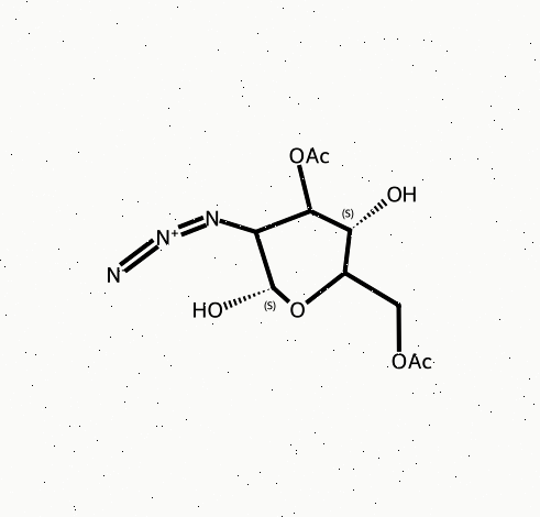 CC(=O)OCC1O[C@H](O)C(N=[N+]=[N-])C(OC(C)=O)[C@@H]1O